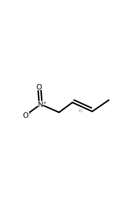 C/C=C/C[N+](=O)[O-]